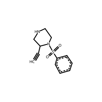 C#CC1CNCCN1S(=O)(=O)c1ccccc1